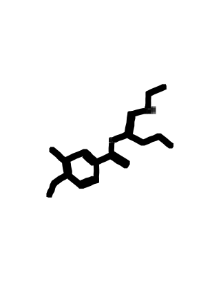 C=C(S/C(=C/NCC)CCC)c1ccc(CC)c(C)c1